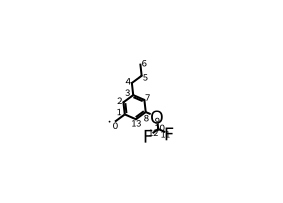 [CH2]c1cc(CCC)cc(OC(F)F)c1